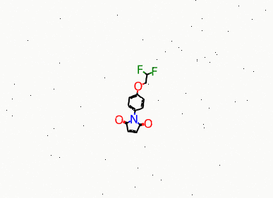 O=C1C=CC(=O)N1c1ccc(OCC(F)F)cc1